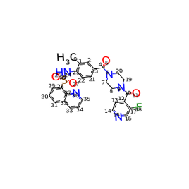 Cc1cc(C(=O)N2CCN(C(=O)c3ccncc3F)CC2)ccc1NS(=O)(=O)c1cccc2cccnc12